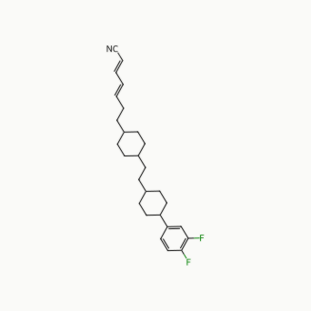 N#CC=CC=CCCC1CCC(CCC2CCC(c3ccc(F)c(F)c3)CC2)CC1